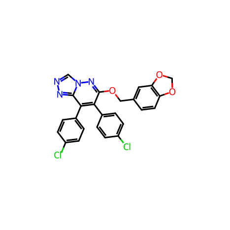 Clc1ccc(-c2c(OCc3ccc4c(c3)OCO4)nn3cnnc3c2-c2ccc(Cl)cc2)cc1